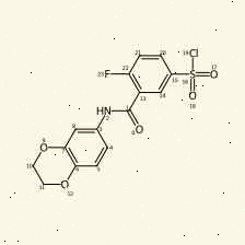 O=C(Nc1ccc2c(c1)OCCO2)c1cc(S(=O)(=O)Cl)ccc1F